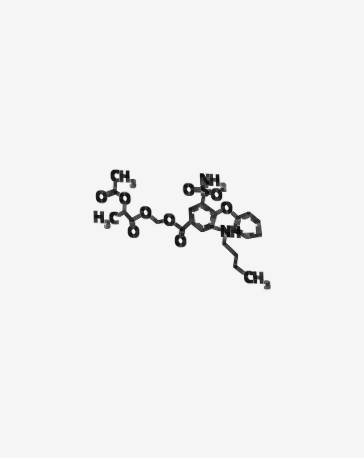 CCCCNc1cc(C(=O)OCOC(=O)C(C)OC(C)=O)cc(S(N)(=O)=O)c1Oc1ccccc1